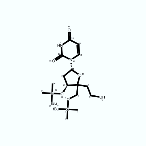 CC(C)(C)[Si](C)(C)OC[C@]1(CCO)O[C@@H](n2ccc(=O)[nH]c2=O)C[C@@H]1O[Si](C)(C)C(C)(C)C